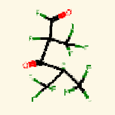 O=C(F)C(F)(C(=O)C(F)(C(F)(F)F)C(F)(F)F)C(F)(F)F